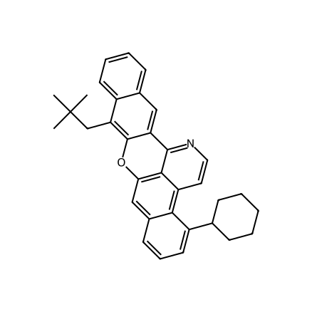 CC(C)(C)Cc1c2c(cc3ccccc13)-c1nccc3c1c(cc1cccc(C4CCCCC4)c13)O2